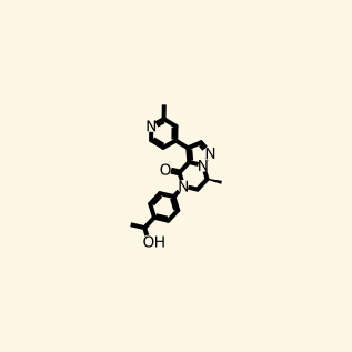 Cc1cc(-c2cnn3c2C(=O)N(c2ccc(C(C)O)cc2)C[C@@H]3C)ccn1